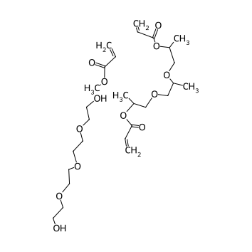 C=CC(=O)OC.C=CC(=O)OC(C)COCC(C)OCC(C)OC(=O)C=C.OCCOCCOCCOCCO